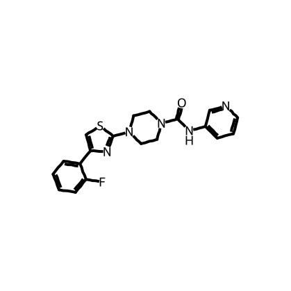 O=C(Nc1cccnc1)N1CCN(c2nc(-c3ccccc3F)cs2)CC1